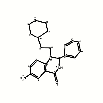 Nc1ccc2c(c1)C(=O)NC(c1ccccc1)N2CCN1CCSCC1